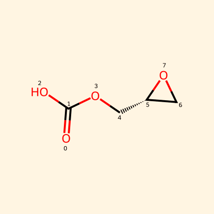 O=C(O)OC[C@H]1CO1